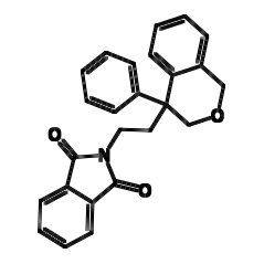 O=C1c2ccccc2C(=O)N1CCC1(c2ccccc2)COCc2ccccc21